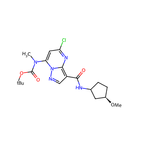 CO[C@@H]1CCC(NC(=O)c2cnn3c(N(C)C(=O)OC(C)(C)C)cc(Cl)nc23)C1